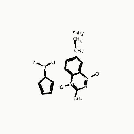 Nc1n[n+]([O-])c2ccccc2[n+]1[O-].[CH2]C.[Cl][Ti]([Cl])[CH]1C=CC=C1.[SnH2]